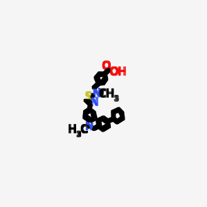 CN(Cc1ccc(C2CCCCC2)cc1)c1ccc(-c2csc(N(C)Cc3ccc(C(=O)O)cc3)n2)cc1